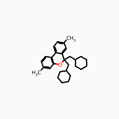 Cc1ccc2c(c1)OC(CC1CCCCC1)(CC1CCCCC1)c1cc(C)ccc1-2